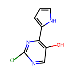 Oc1cnc(Cl)nc1-c1ccc[nH]1